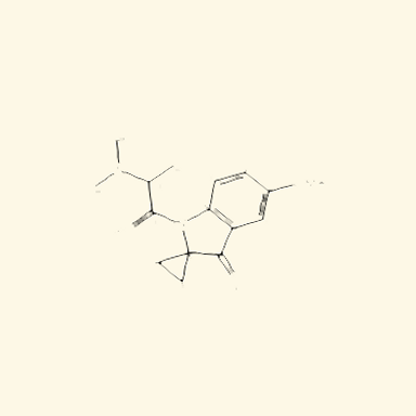 COc1ccc2c(c1)C(=O)C1(CC1)N2C(=O)C(C)N(C)C